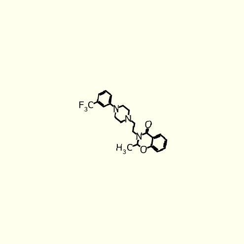 CC1Oc2ccccc2C(=O)N1CCN1CCN(c2cccc(C(F)(F)F)c2)CC1